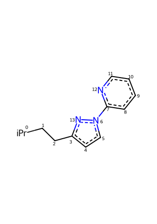 CC(C)CCc1ccn(-c2ccccn2)n1